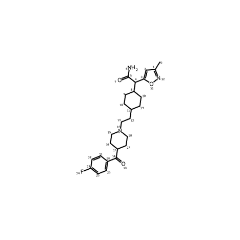 Cc1cc(C(C(N)=O)C2CCC(CCN3CCC(C(=O)c4ccc(F)cc4)CC3)CC2)on1